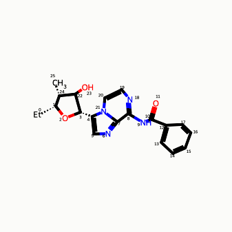 CC[C@H]1O[C@@H](c2cnc3c(NC(=O)c4ccccc4)nccn23)C(O)[C@H]1C